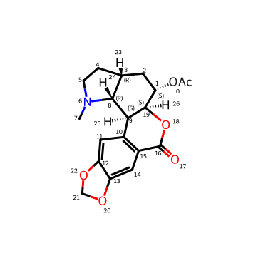 CC(=O)O[C@H]1C[C@H]2CCN(C)[C@H]2[C@@H]2c3cc4c(cc3C(=O)O[C@@H]21)OCO4